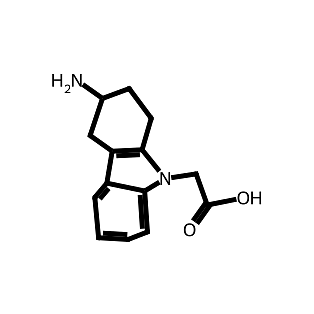 NC1CCc2c(c3ccccc3n2CC(=O)O)C1